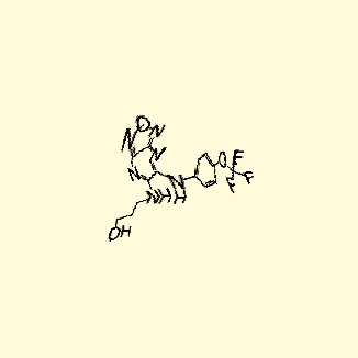 OCCCNc1nc2nonc2nc1Nc1ccc(OC(F)(F)F)cc1